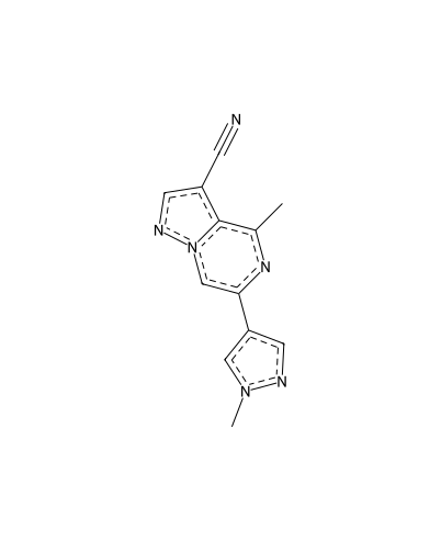 Cc1nc(-c2cnn(C)c2)cn2ncc(C#N)c12